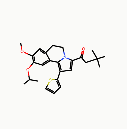 COc1cc2c(cc1OC(C)C)-c1c(-c3cccs3)cc(C(=O)CC(C)(C)C)n1CC2